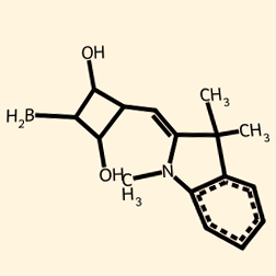 BC1C(O)C(C=C2N(C)c3ccccc3C2(C)C)C1O